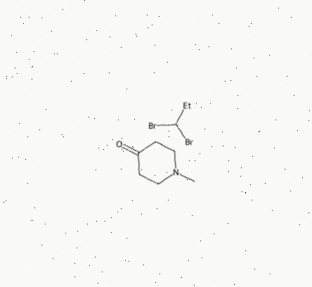 CCC(Br)Br.CN1CCC(=O)CC1